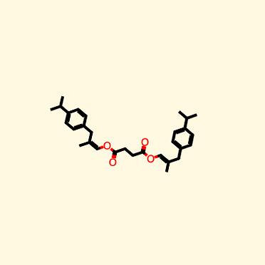 CC(=COC(=O)CCC(=O)OC=C(C)Cc1ccc(C(C)C)cc1)Cc1ccc(C(C)C)cc1